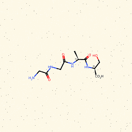 C[C@H](NC(=O)CNC(=O)CN)C(=O)N[C@@H](CO)C(=O)O